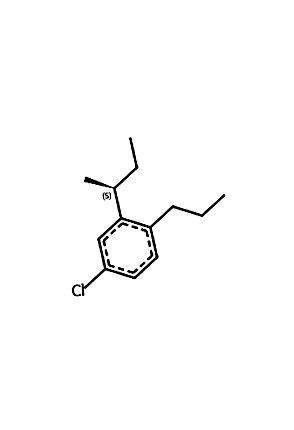 CCCc1ccc(Cl)cc1[C@@H](C)CC